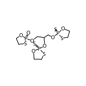 O=P1(OCC(COP2(=S)OCCS2)OP2(=S)OCCS2)OCCS1